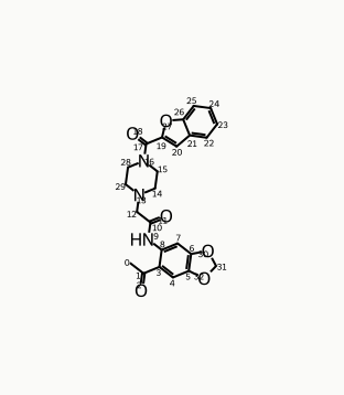 CC(=O)c1cc2c(cc1NC(=O)CN1CCN(C(=O)c3cc4ccccc4o3)CC1)OCO2